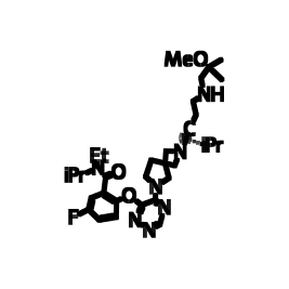 CCN(C(=O)c1cc(F)ccc1Oc1nncnc1N1CCC2(C1)CN([C@H](CCCNCC(C)(C)OC)C(C)C)C2)C(C)C